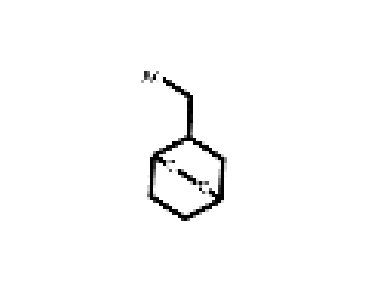 CC(=O)CC1CC2CCC1CC2